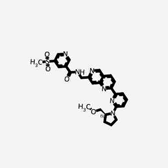 COC[C@@H]1CCCN1c1cccc(-c2ccc3cnc(CNC(=O)c4cncc(S(C)(=O)=O)c4)cc3n2)n1